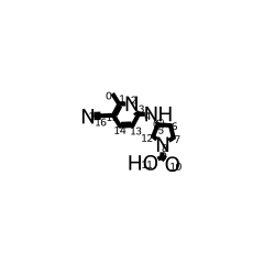 Cc1nc(N[C@H]2CCN(C(=O)O)C2)ccc1C#N